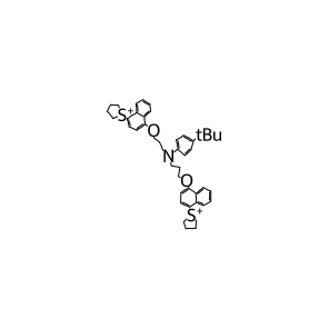 CC(C)(C)c1ccc(N(CCCOc2ccc([S+]3CCCC3)c3ccccc23)CCCOc2ccc([S+]3CCCC3)c3ccccc23)cc1